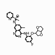 Cc1cc(N=S(C)(=O)c2ccccn2)cc2ncnc(Nc3ccc(F)cc3OC3COC4CCOC43)c12